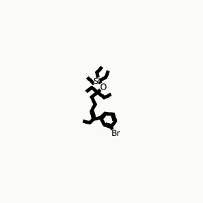 CC/C(=C/CCC(CC)(CC)O[Si](CC)(CC)CC)c1cccc(Br)c1